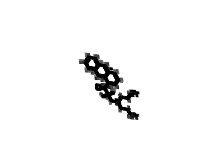 CC(C)CCN(CCC(C)C)CC(C)(C)C(=O)c1cccc2cc3ccccc3cc12